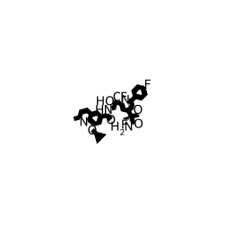 Cc1ccc2cc(C(=O)NCC(O)(c3cc4c(c(-c5ccc(F)cc5)n3)OC[C@]4(CF)C(N)=O)C(F)(F)F)cc(OC3CC3)c2n1